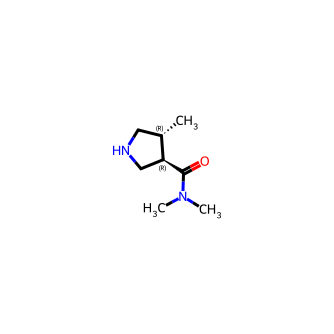 C[C@H]1CNC[C@@H]1C(=O)N(C)C